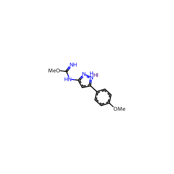 COC(=N)Nc1cc(-c2ccc(OC)cc2)[nH]n1.I